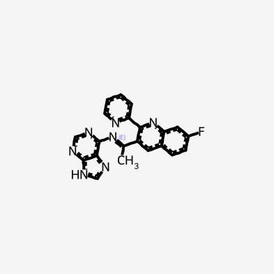 C/C(=N\c1ncnc2[nH]cnc12)c1cc2ccc(F)cc2nc1-c1ccccn1